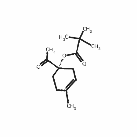 CC(=O)[C@@]1(OC(=O)C(C)(C)C)CC=C(C)CC1